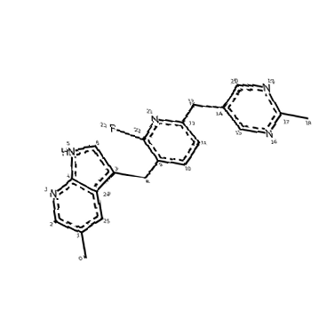 Cc1cnc2[nH]cc(Cc3ccc([CH]c4cnc(C)nc4)nc3F)c2c1